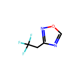 FC(F)(F)Cc1ncon1